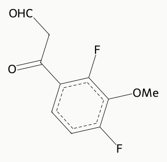 COc1c(F)ccc(C(=O)CC=O)c1F